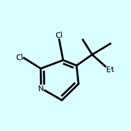 CCC(C)(C)c1ccnc(Cl)c1Cl